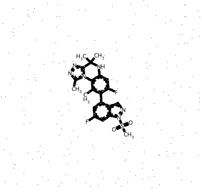 Cc1c(-c2cc(F)cc3c2cnn3S(C)(=O)=O)c(F)cc2c1-n1c(C)nnc1C(C)(C)N2